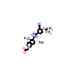 Cc1c(-c2noc(-c3ccc(OC(C)C)c(C#N)c3)n2)ccc2c1CCN(CC(=O)[O-])C2.[Na+]